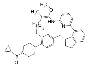 CCc1cc(C[C@H]2CCc3cccc(-c4cccc(NC(OC)=C(C)C)n4)c32)ccc1C1CCN(C(=O)C2CC2)CC1